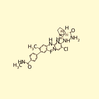 CNC(=O)c1ccc(-c2cc(F)c(Nc3ncc(Cl)c(N[C@@H]4[C@H]5CC[C@H](C5)[C@@H]4C(N)=O)n3)cc2C)cc1